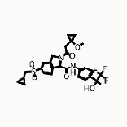 COC1(CC(=O)N2Cc3cc(S(=O)(=O)CC4CC4)ccc3C2C(=O)Nc2ccc(C(C)(O)C(F)(F)F)cc2)CC1